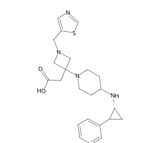 O=C(O)CC1(N2CCC(N[C@@H]3CC3c3ccccc3)CC2)CN(Cc2cncs2)C1